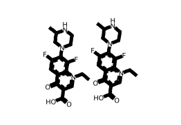 CCn1cc(C(=O)O)c(=O)c2cc(F)c(N3CCNC(C)C3)c(F)c21.CCn1cc(C(=O)O)c(=O)c2cc(F)c(N3CCNC(C)C3)c(F)c21